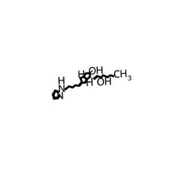 CCCCC[C@H](O)/C=C/[C@@H]1[C@H]2C/C(=C/CCCCNc3ccccn3)C[C@H]2C[C@H]1O